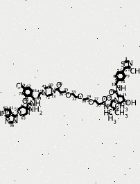 Cc1ncsc1-c1ccc(CNC(=O)C2C[C@@H](O)CN2C(=O)[C@@H](NC(=O)CCOCCOCCOCCC(=O)N2CCN(CC[C@H](NC(=O)C3(N)CCN(c4ncnc5[nH]ccc45)CC3)c3ccc(Cl)cc3)CC2)C(C)(C)C)cc1